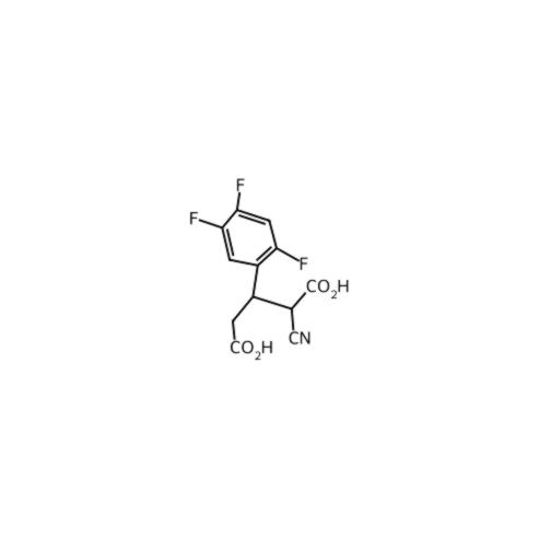 N#CC(C(=O)O)C(CC(=O)O)c1cc(F)c(F)cc1F